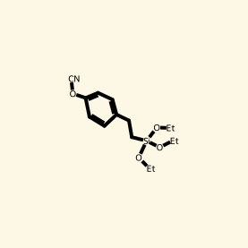 CCO[Si](CCc1ccc(OC#N)cc1)(OCC)OCC